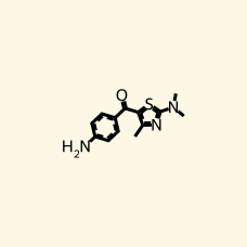 Cc1nc(N(C)C)sc1C(=O)c1ccc(N)cc1